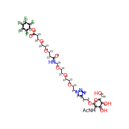 CC(=O)N[C@H]1[C@H](OCCc2cn(CCOCCOCCOCNC(=O)CCOCCOCCC(=O)Oc3c(F)c(F)c(F)c(F)c3F)nn2)O[C@H](CO)[C@H](O)[C@@H]1O